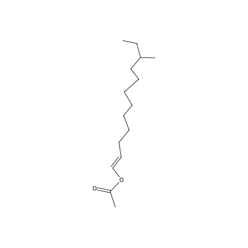 CCC(C)CCCCCCCC=COC(C)=O